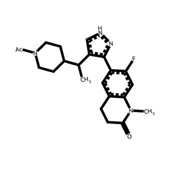 CC(=O)N1CCC(C(C)c2c[nH]nc2-c2cc3c(cc2F)N(C)C(=O)CC3)CC1